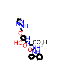 O=C(Nc1ccccc1-c1ccccc1)N[C@@H](CNC(=O)c1ccc(OCCNc2ncccn2)cc1O)C(=O)O